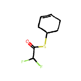 O=C(SC1CC=CCC1)C(F)F